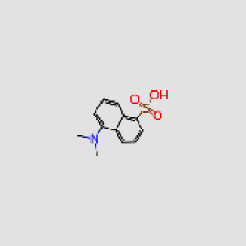 CN(C)c1cccc2c(S(=O)(=O)O)cccc12